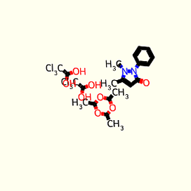 CC1OC(C)OC(C)O1.Cc1cc(=O)n(-c2ccccc2)n1C.OC(O)C(Cl)(Cl)Cl.OC(O)C(Cl)(Cl)Cl